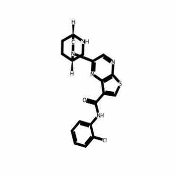 O=C(Nc1ccccc1Cl)c1csc2ncc(N3C[C@@H]4CC[C@H]3CN4)nc12